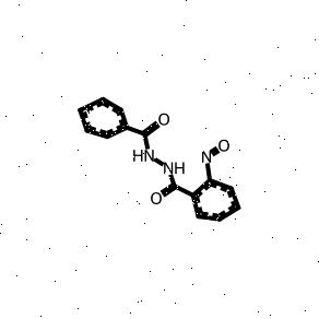 O=Nc1ccccc1C(=O)NNC(=O)c1ccccc1